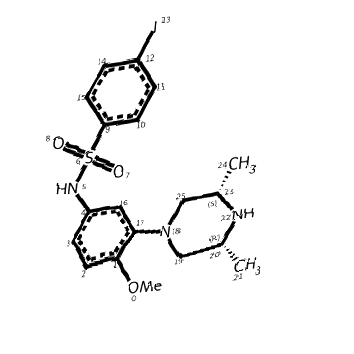 COc1ccc(NS(=O)(=O)c2ccc(I)cc2)cc1N1C[C@@H](C)N[C@@H](C)C1